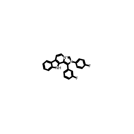 Fc1ccc(-n2c[n+]3ccc4c5ccccc5[nH]c4c3c2-c2cccc(F)c2)cc1